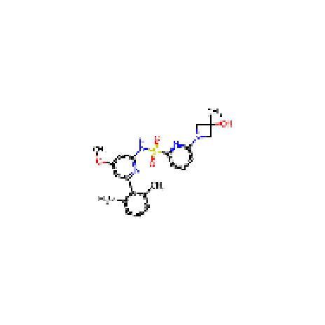 COc1cc(NS(=O)(=O)c2cccc(N3CC(C)(O)C3)n2)nc(-c2c(C)cccc2C)c1